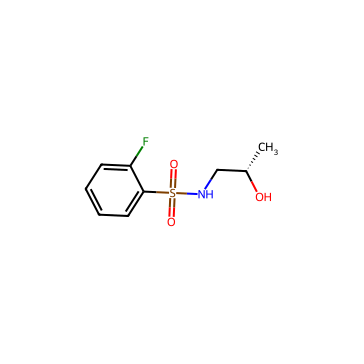 C[C@H](O)CNS(=O)(=O)c1ccccc1F